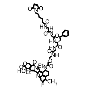 CCN(C(=O)COCNC(=O)CNC(=O)[C@H](CCc1ccccc1)NC(=O)CNC(=O)CNC(=O)CCCCCN1C(=O)C=CC1=O)[C@H]1CCc2c(C)c(F)cc3nc4c(c1c23)Cn1c-4cc2c(c1=O)COC(=O)[C@]2(O)CC